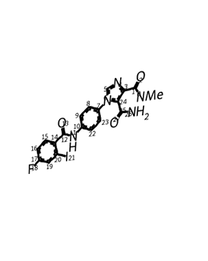 CNC(=O)c1ncn(-c2ccc(NC(=O)c3ccc(F)cc3I)cc2)c1C(N)=O